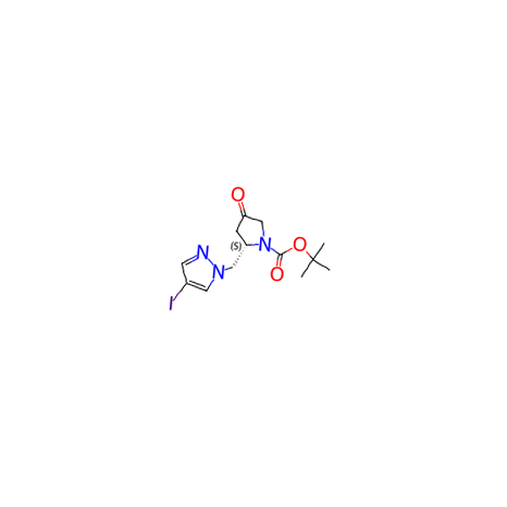 CC(C)(C)OC(=O)N1CC(=O)C[C@H]1Cn1cc(I)cn1